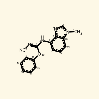 Cn1cnc2c(N/C(=N/C#N)Oc3ccccc3)cccc21